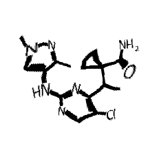 Cc1nn(C)cc1Nc1ncc(Cl)c(C(C)C2(C(N)=O)CC2)n1